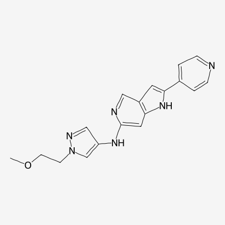 COCCn1cc(Nc2cc3[nH]c(-c4ccncc4)cc3cn2)cn1